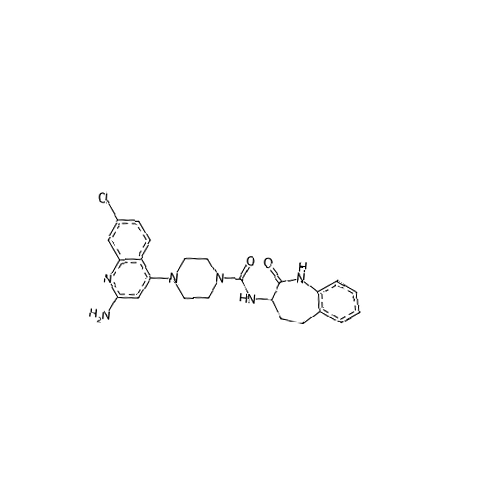 Nc1cc(N2CCN(C(=O)NC3CCc4ccccc4NC3=O)CC2)c2ccc(Cl)cc2n1